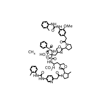 C.COc1cc(CC(=O)N2CCCC2C2=NC(CC(NS(=O)(=O)c3ccccc3)(C(=O)O)S(=O)(=O)NC(CC3COC(C4C(C)CCN4C(=O)Cc4ccc(NC(=O)Nc5ccccc5C)cn4)=N3)C(=O)O)CO2)ccc1NC(=O)Nc1ccccc1C